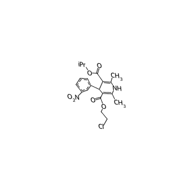 CC1=C(C(=O)OCCCl)C(c2cccc([N+](=O)[O-])c2)C(C(=O)OC(C)C)=C(C)N1